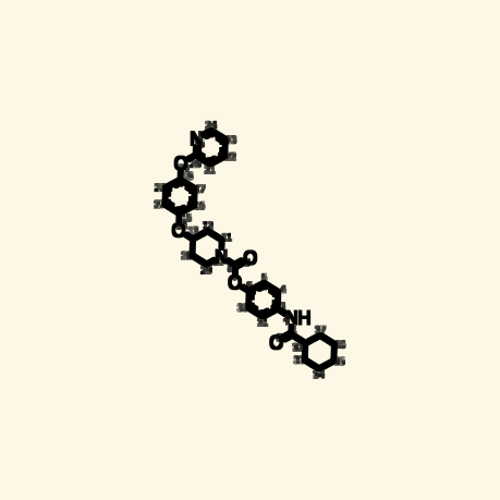 O=C(Nc1ccc(OC(=O)N2CCC(Oc3ccc(Oc4ccccn4)cc3)CC2)cc1)C1CCCCC1